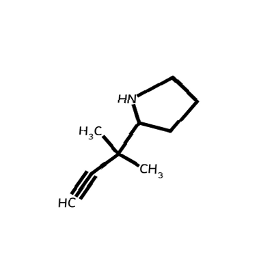 C#CC(C)(C)C1CCCN1